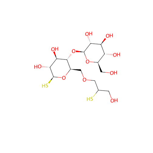 OCC(S)COC[C@H]1O[C@@H](S)[C@H](O)[C@@H](O)[C@@H]1O[C@@H]1O[C@H](CO)[C@@H](O)[C@H](O)[C@H]1O